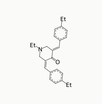 CCc1ccc(/C=C2/CN(CC)C/C(=C\c3ccc(CC)cc3)C2=O)cc1